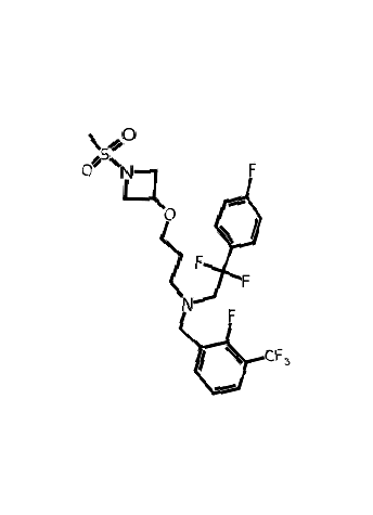 CS(=O)(=O)N1CC(OCCCN(Cc2cccc(C(F)(F)F)c2F)CC(F)(F)c2ccc(F)cc2)C1